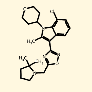 Cc1c(-c2noc(CN3CCCC3(C)C)n2)c2cccc(Cl)c2n1C1CCOCC1